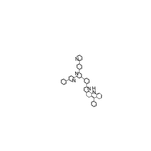 C1=CCC2C(=C1)NC1C(=C2c2ccccc2)CCc2ccc(-c3cccc(-c4cc(-c5ccc(-c6ccccn6)cc5)nc(-c5ccc(-c6ccccc6)cn5)c4)c3)nc21